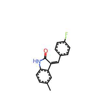 Cc1ccc2c(c1)/C(=C/c1ccc(F)cc1)C(=O)N2